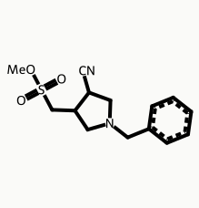 COS(=O)(=O)CC1CN(Cc2ccccc2)CC1C#N